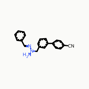 N#Cc1ccc(-c2cccc(CN(N)N=Cc3ccccc3)c2)cc1